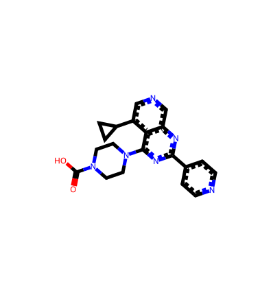 O=C(O)N1CCN(c2nc(-c3ccncc3)nc3cncc(C4CC4)c23)CC1